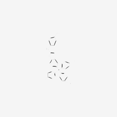 CC(C)(C)c1ccc(C(c2ccc(NC(=O)Nc3ccc(CO)cc3)cc2)(c2ccc(C(C)(C)C)cc2)c2ccc(C(C)(C)C)cc2)cc1